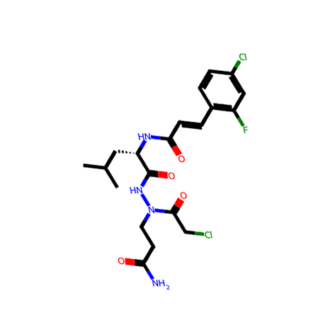 CC(C)C[C@H](NC(=O)/C=C/c1ccc(Cl)cc1F)C(=O)NN(CCC(N)=O)C(=O)CCl